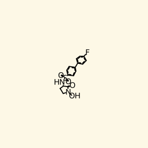 O=C1[C@H](NS(=O)(=O)c2ccc(-c3ccc(F)cc3)cc2)CCN1O